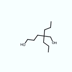 CCCC(CO)(CCC)CCCO